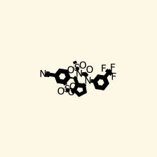 CS(=O)(=O)c1cc(C#N)ccc1[C@@H]1C2=C(CCC2=O)N(c2cccc(C(F)(F)F)c2)C(=O)N1S(C)(=O)=O